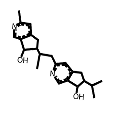 Cc1cc2c(cn1)C(O)C(C(C)Cc1cc3c(cn1)C(O)C(C(C)C)C3)C2